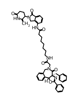 C=C1NC(=O)CCC1N1Cc2c(NC(=O)CCCCCCCNC(=O)CN3Cc4ccccc4[C@@H]4OC(c5ccccc5)=N[C@]4(Cc4ccccc4)C3=O)cccc2C1=O